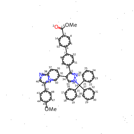 COC(=O)c1ccc(-c2ccc(-c3nn(C(c4ccccc4)(c4ccccc4)c4ccccc4)cc3-c3ccc4ncc(-c5ccc(OC)cc5)n4c3)cc2)cc1